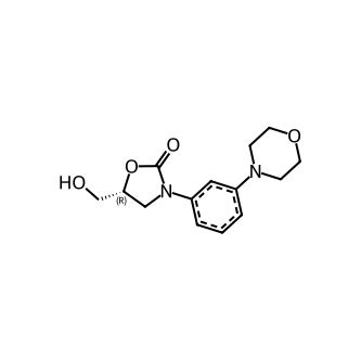 O=C1O[C@@H](CO)CN1c1cccc(N2CCOCC2)c1